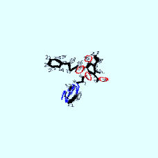 CC(=O)c1c(OCCCn2ccnc2)c(OCCCc2ccccc2)c2occc2c1C